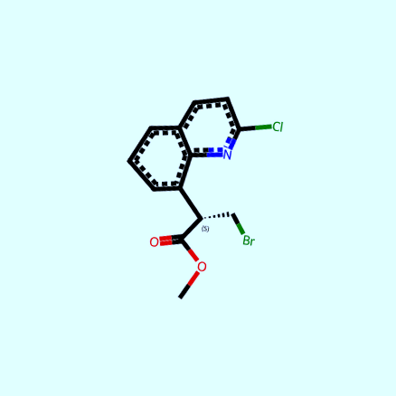 COC(=O)[C@@H](CBr)c1cccc2ccc(Cl)nc12